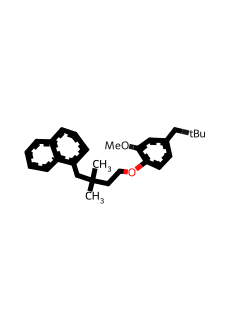 COc1cc(CC(C)(C)C)ccc1OCCC(C)(C)Cc1cccc2ccccc12